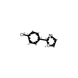 Clc1ccc(-c2nc[c]o2)cc1